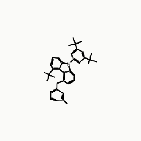 Cc1cccc(Cc2cccc3c2c2c(C(C)(C)C)cccc2n3-c2cc(C(C)(C)C)cc(C(C)(C)C)c2)c1